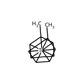 C[C]12[CH]3[CH]4[CH]5[CH]1[Ti]45321678[CH]2[CH]1[CH]6[C]7(C)[CH]28